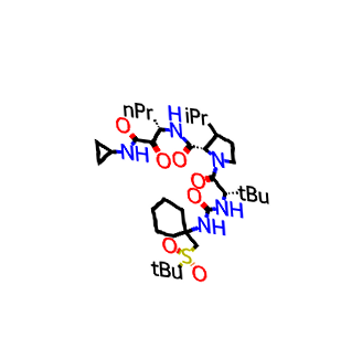 CCC[C@H](NC(=O)[C@@H]1C(C(C)C)CCN1C(=O)[C@@H](NC(=O)NC1(CS(=O)(=O)C(C)(C)C)CCCCC1)C(C)(C)C)C(=O)C(=O)NC1CC1